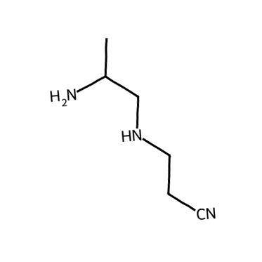 CC(N)CNCCC#N